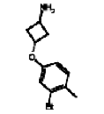 CCc1cc(O[C@H]2C[C@H](N)C2)ccc1C